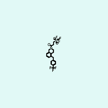 O=C(CCS(=O)(=O)C(F)(F)F)N1CCc2c(Cc3ccc(C(F)(F)F)cc3)cccc2C1